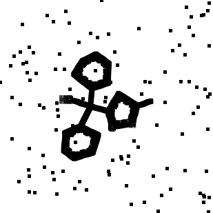 Cc1cc(C(O)(c2ccccc2)c2ccccc2)on1